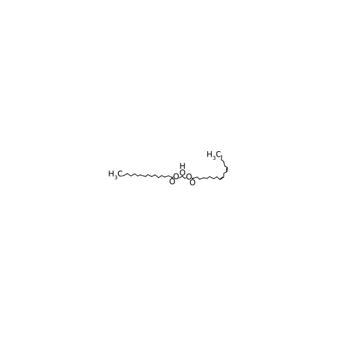 CCCCC/C=C\C/C=C\CCCCCCCC(=O)OC[C@@H](O)COC(=O)CCCCCCCCCCCCCCC